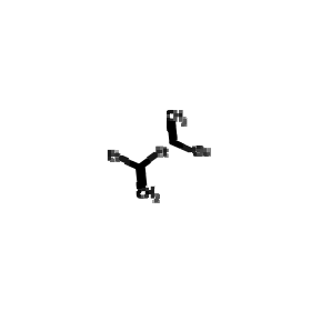 C=C(CC)CC.C=CC(C)(C)C